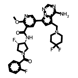 COc1ncc(-c2cc(CN3CCC(F)(F)CC3)c3c(N)ncnn23)cc1C(=O)N[C@@H]1CN(C(=O)c2ccccc2F)C[C@@H]1F